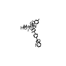 COP(=O)(c1ccc(C)cc1C)N(C)c1cc(-c2ccc(-c3cc4ncccc4o3)cc2)sc1C(=O)O